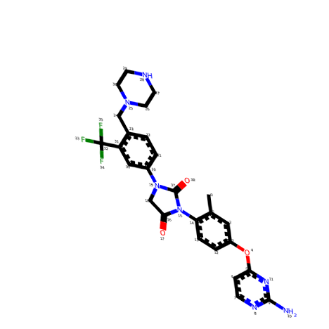 Cc1cc(Oc2ccnc(N)n2)ccc1N1C(=O)CN(c2ccc(CN3CCNCC3)c(C(F)(F)F)c2)C1=O